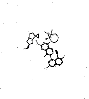 C#Cc1c(F)ccc2cc(O)cc(-c3ncc4c(N5CCOC[C@H]6[C@H](F)[C@H]65)nc(OC[C@]56C/C(=C/F)CN5CCC65CC5)nc4c3C)c12